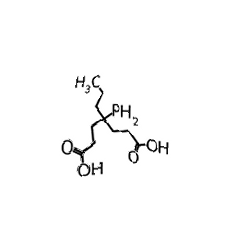 CCCC(P)(CCC(=O)O)CCC(=O)O